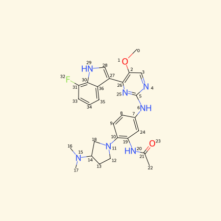 COc1cnc(Nc2ccc(N3CCC(N(C)C)C3)c(NC(C)=O)c2)nc1-c1c[nH]c2c(F)cccc12